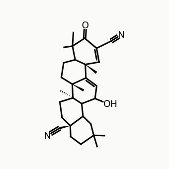 CC1(C)CC[C@]2(C#N)CC[C@]3(C)C(C(O)C=C4[C@@]5(C)C=C(C#N)C(=O)C(C)(C)C5CC[C@]43C)C2C1